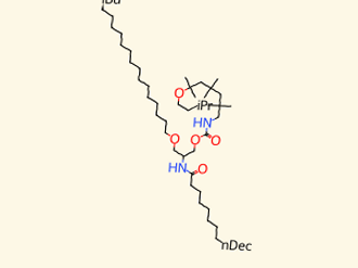 CCCCCCCCCCCCCCCCCC(=O)NC(COCCCCCCCCCCCCCCC[C@H](C)CC)COC(=O)NCC(C)(C)CC(C)(C)CC(C)(C)OCCC(C)C